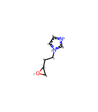 c1cn(CCC2CO2)cn1